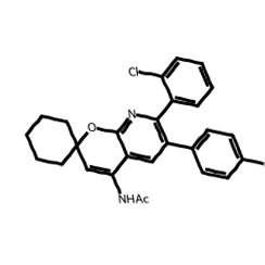 CC(=O)NC1=CC2(CCCCC2)Oc2nc(-c3ccccc3Cl)c(-c3ccc(Cl)cc3)cc21